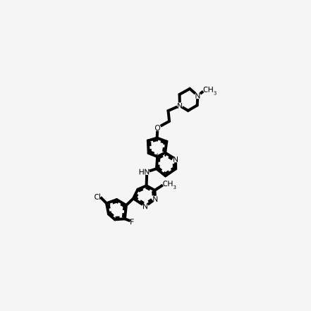 Cc1nnc(-c2cc(Cl)ccc2F)cc1Nc1ccnc2cc(OCCN3CCN(C)CC3)ccc12